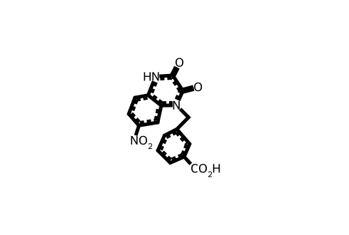 O=C(O)c1cccc(Cn2c(=O)c(=O)[nH]c3ccc([N+](=O)[O-])cc32)c1